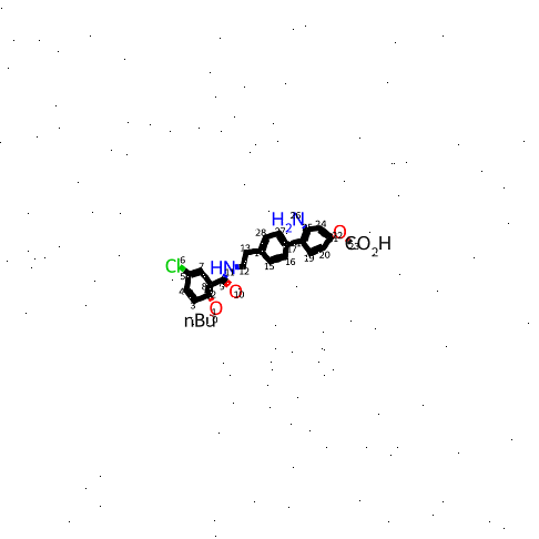 CCCCOc1ccc(Cl)cc1C(=O)NCCc1ccc(-c2ccc(OC(=O)O)cc2N)cc1